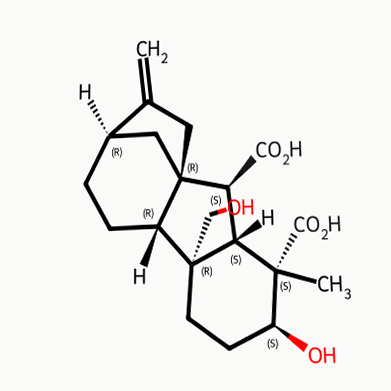 C=C1C[C@]23C[C@H]1CC[C@H]2[C@]1(CO)CC[C@H](O)[C@@](C)(C(=O)O)[C@H]1[C@@H]3C(=O)O